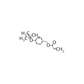 C=CC(=O)OCc1ccc(O[Si](C)(C)C)cc1